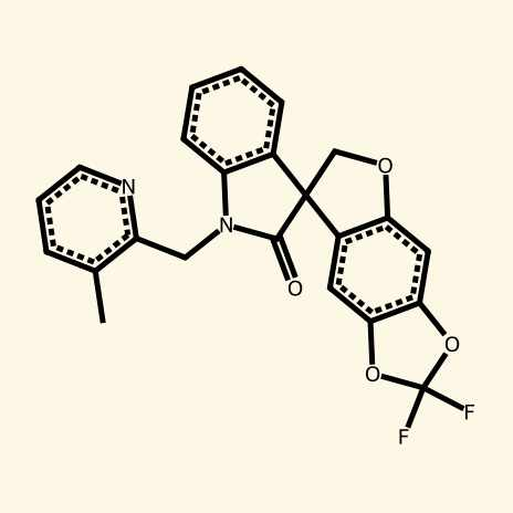 Cc1cccnc1CN1C(=O)C2(COc3cc4c(cc32)OC(F)(F)O4)c2ccccc21